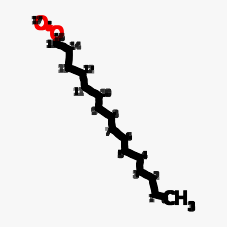 CCCCCCCCCCCCCCCCO[O]